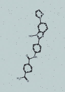 CC(=O)c1ccc(C(=O)Nc2ccc(-c3nc4ccc(-n5cccn5)cc4n3O)cc2)cc1